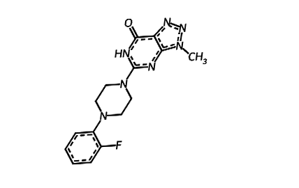 Cn1nnc2c(=O)[nH]c(N3CCN(c4ccccc4F)CC3)nc21